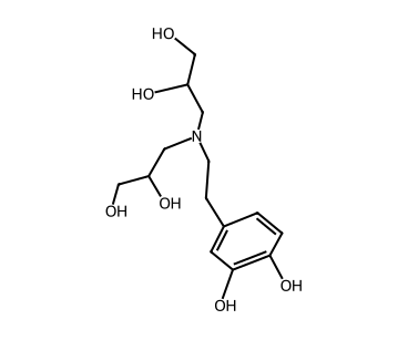 OCC(O)CN(CCc1ccc(O)c(O)c1)CC(O)CO